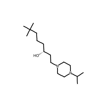 CC(C)N1CCN(CC[C@H](O)CCCC(C)(C)C)CC1